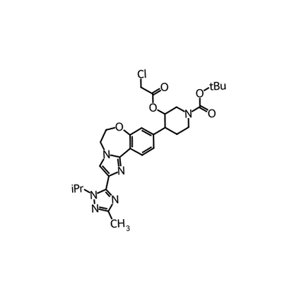 Cc1nc(-c2cn3c(n2)-c2ccc(C4CCN(C(=O)OC(C)(C)C)CC4OC(=O)CCl)cc2OCC3)n(C(C)C)n1